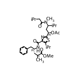 COC(=O)[C@@H](C)C[C@H](Cc1ccccc1)NC(=O)c1nc([C@@H](CC(C(C)C)N(C)C(=O)CC(C)C)OC(C)=O)sc1C(C)C